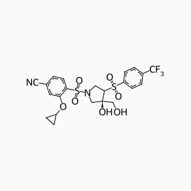 N#Cc1ccc(S(=O)(=O)N2CC(S(=O)(=O)c3ccc(C(F)(F)F)cc3)[C@](O)(CO)C2)c(OC2CC2)c1